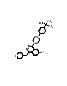 Cc1ccc2c(Cc3ccncc3)nnc(N3CCN(C4=CCC(C(C)(C)C)C=C4)CC3)c2c1